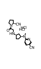 CN(c1ccc(C#N)cn1)[C@H]1CC[C@@H](NCC(=O)N2CCC[C@H]2C#N)C1.Cl.Cl